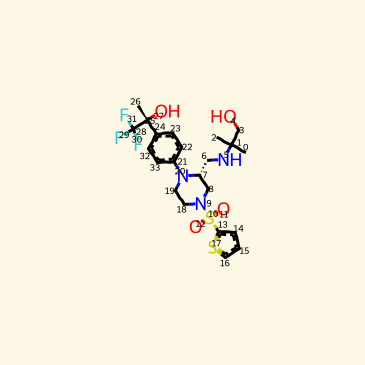 CC(C)(CO)NC[C@@H]1CN(S(=O)(=O)c2cccs2)CCN1c1ccc([C@@](C)(O)C(F)(F)F)cc1